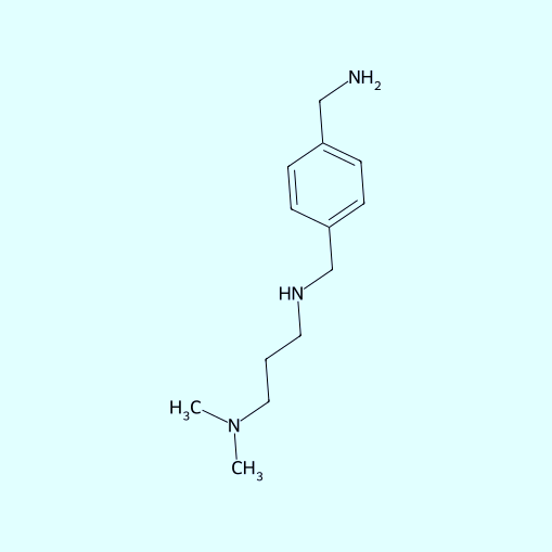 CN(C)CCCNCc1ccc(CN)cc1